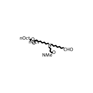 CCCCCCCCC(CCCCCCCC)OC(=O)CCCCCCCN(CCCCCCCC=O)CCCC(=O)NC